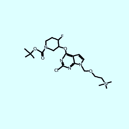 CC(C)(C)OC(=O)N1CCC(F)C(Oc2nc(Cl)nc3c2ccn3COCC[Si](C)(C)C)C1